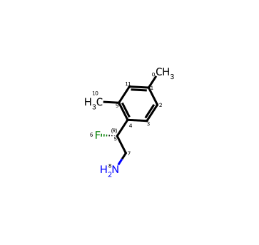 Cc1ccc([C@@H](F)CN)c(C)c1